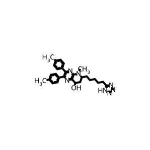 Cc1ccc(-c2nc3c(nc2-c2ccc(C)cc2)N(C)C(CCCCCc2nnn[nH]2)CC3O)cc1